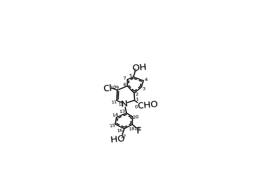 O=CC1c2ccc(O)cc2C(Cl)=CN1c1ccc(O)c(F)c1